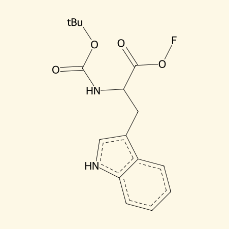 CC(C)(C)OC(=O)NC(Cc1c[nH]c2ccccc12)C(=O)OF